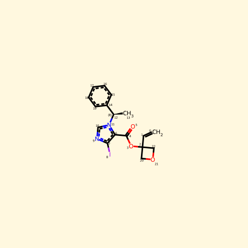 C=CC1(OC(=O)c2c(I)ncn2[C@H](C)c2ccccc2)COC1